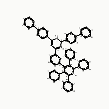 C1=C(c2ccc(-c3ccccc3)cc2)NC(c2ccc(-c3ccccc3)cc2)N=C1c1cccc(-c2c(-c3ccccc3)c(-c3ccccc3)nc(-c3ccccc3)c2-c2ccccc2)c1